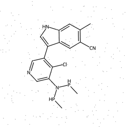 CPN(PC)c1cncc(-c2c[nH]c3cc(C)c(C#N)cc23)c1Cl